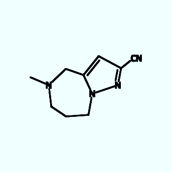 CN1CCCn2nc(C#N)cc2C1